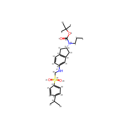 CCCN(C(=O)OC(C)(C)C)[C@H]1Cc2ccc(NCS(=O)(=O)c3ccc(C(C)C)cc3)cc2C1